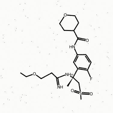 CCOCCC(=N)N[C@@](C)(CS(C)(=O)=O)c1cc(NC(=O)C2CCOCC2)ccc1F